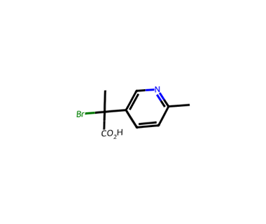 Cc1ccc(C(C)(Br)C(=O)O)cn1